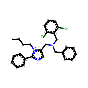 CCCCn1c(CN(Cc2ccccc2)Cc2c(Cl)cccc2Cl)cnc1-c1ccccc1